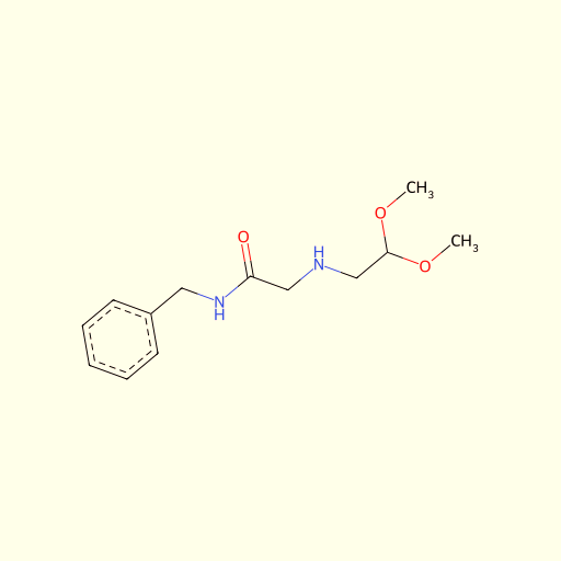 COC(CNCC(=O)NCc1ccccc1)OC